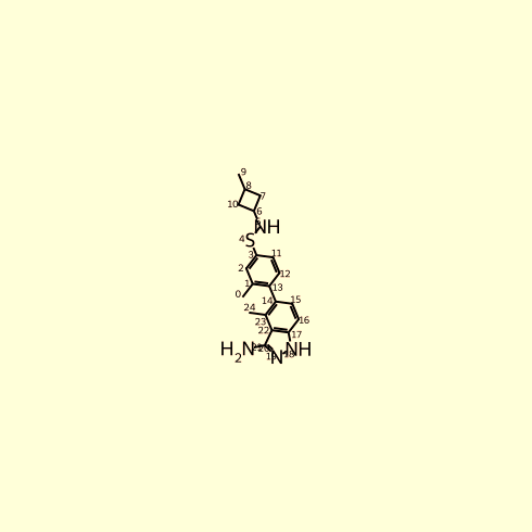 Cc1cc(SNC2CC(C)C2)ccc1-c1ccc2[nH]nc(N)c2c1C